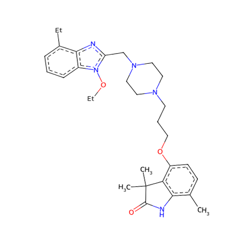 CCOn1c(CN2CCN(CCCOc3ccc(C)c4c3C(C)(C)C(=O)N4)CC2)nc2c(CC)cccc21